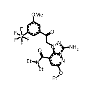 CCOc1cc(C(=O)N(CC)CC)c2n(n1)c(N)n[n+]2CC(=O)c1cc(OC)cc(S(F)(F)(F)(F)F)c1